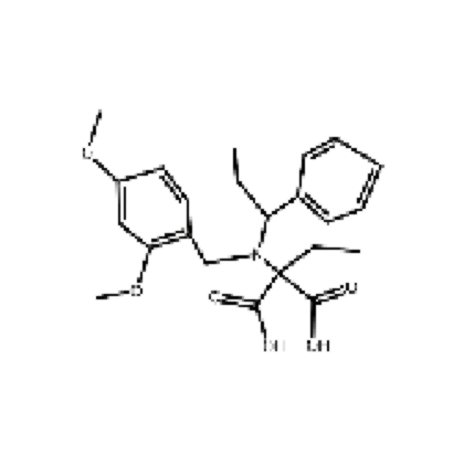 CCC(c1ccccc1)N(Cc1ccc(OC)cc1OC)C(CC)(C(=O)O)C(=O)O